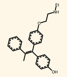 CCNCCOc1ccc(/C(=C(/C)c2ccccc2)c2ccc(O)cc2)cc1